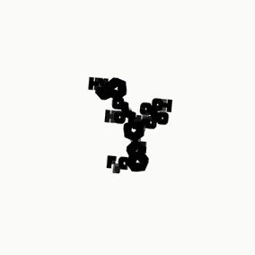 C[C@H]1C[C@@H](c2cc3c(C(F)(F)F)cccc3s2)CCN1C[C@H](O)COc1cccc2[nH]ccc12.O=C(O)C(=O)O